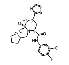 O=C(Nc1ccc(F)c(Cl)c1)[C@@H]1C[C@H](c2nccs2)NS(=O)(=O)N1CC1CCCO1